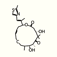 C/C(=C\c1csc(C)n1)C1C/C=C\CCCC(C)[C@H](O)[C@@H](C)C(=O)C(C)(C)[C@@H](O)CC(=O)O1